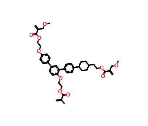 C=C(C)C(=O)OCCOc1ccc(-c2ccc(OCCOC(=O)C(=C)COC)cc2)cc1-c1ccc(C2CCC(CCOC(=O)C(=C)COC)CC2)cc1